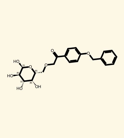 O=C(COC[C@H]1O[C@H](O)[C@H](O)[C@@H](O)[C@H]1O)c1ccc(OCc2ccccc2)cc1